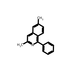 Cc1ccc2c(-c3ccccc3)nc(C)cc2c1